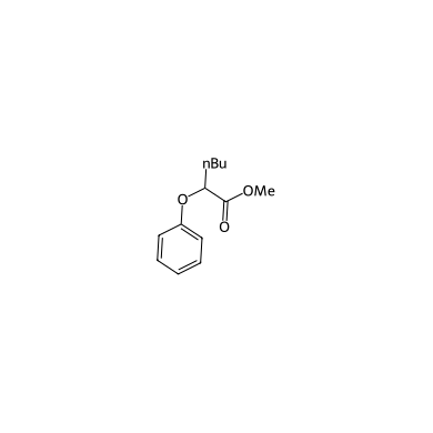 CCCCC(Oc1ccccc1)C(=O)OC